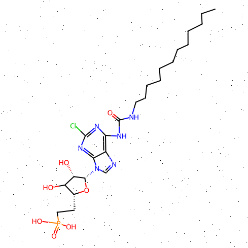 CCCCCCCCCCCCNC(=O)Nc1nc(Cl)nc2c1ncn2[C@@H]1O[C@H](CCP(=O)(O)O)C(O)[C@@H]1O